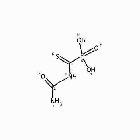 NC(=O)NC(=S)P(=O)(O)O